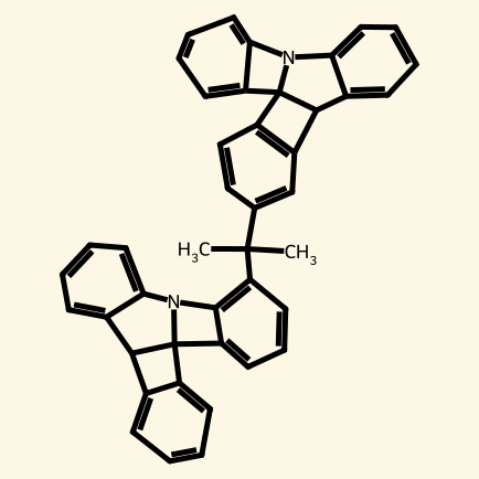 CC(C)(c1ccc2c(c1)C1c3ccccc3N3c4ccccc4C213)c1cccc2c1N1c3ccccc3C3c4ccccc4C231